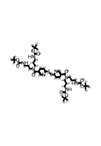 CC(C)(C)OC(=O)NCCCN(CCCNC(=O)OC(C)(C)C)C(=O)c1ccc(SSc2ccc(C(=O)N(CCCNC(=O)OC(C)(C)C)CCCNC(=O)OC(C)(C)C)cn2)nc1